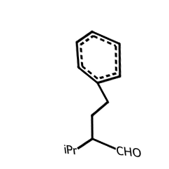 CC(C)C(C=O)CCc1ccccc1